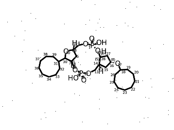 O=P1(O)OC[C@@H]2C[C@@H](OP(=O)(O)OC[C@H]3C[C@@H](OC4CCCCCCCC4)C[C@@H]3O1)C(C1CCCCCCCC1)O2